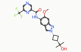 COc1cc2nn([C@H]3C[C@H](C(C)(C)O)C3)cc2cc1NC(=O)c1cncc(C(F)(F)F)n1